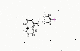 Ic1ccc(CCc2cccc3ccccc23)cc1